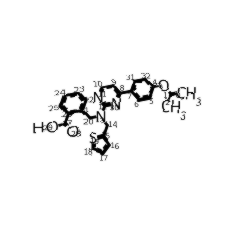 CC(C)Oc1ccc(-c2ccnc(N(Cc3cccs3)Cc3ccccc3C(=O)O)n2)cc1